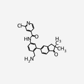 CC1(C)Cc2cc(-c3cc(NC(=O)c4ccnc(Cl)c4)ccc3CN)ccc2C1=O